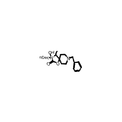 CCCCCCCCCC[N+]1(O)C(=O)OC2(CCN(Cc3ccccc3)CC2)C1C